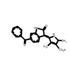 CC1=C(C(=O)O)C(C)NC1=C1C(=O)Nc2cc(C(=O)c3ccccc3)ccc21